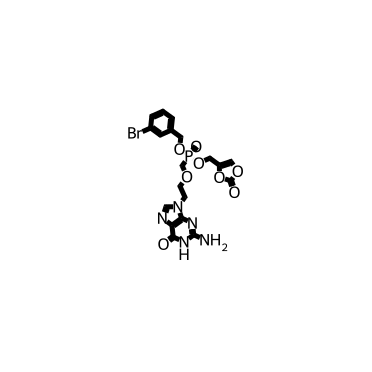 Nc1nc2c(ncn2CCOCP(=O)(OCc2cccc(Br)c2)OCc2coc(=O)o2)c(=O)[nH]1